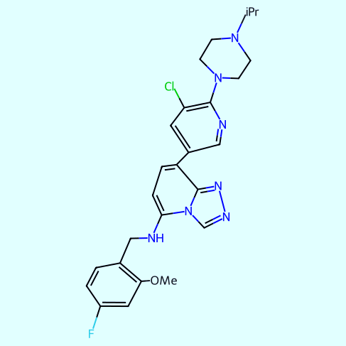 COc1cc(F)ccc1CNc1ccc(-c2cnc(N3CCN(C(C)C)CC3)c(Cl)c2)c2nncn12